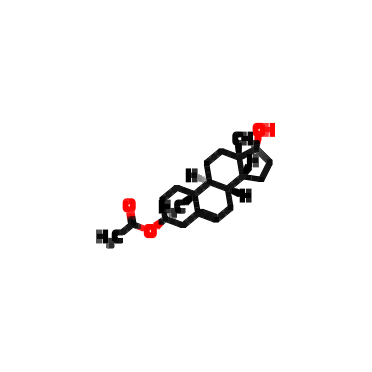 CC(=O)O[C@H]1CC[C@@]2(C)C(=CC[C@H]3[C@H]4CC[C@H](O)[C@@]4(C)CC[C@@H]32)C1